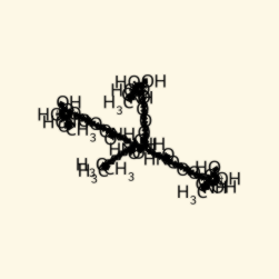 CC(=O)N[C@H]1[C@H](OCCOCCOCCOCC(=O)NCCCC[C@H](NC(=O)COCCOCCOCCO[C@@H]2O[C@H](CO)[C@H](O)[C@H](O)[C@H]2NC(C)=O)C(=O)N[C@@H](CCCCNC(=O)COCCOCCOCCO[C@@H]2O[C@H](CO)[C@H](O)[C@H](O)[C@H]2NC(C)=O)C(=O)NCCCCCCC(C)(C)C)O[C@H](CO)[C@H](O)[C@@H]1O